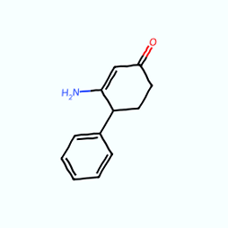 NC1=CC(=O)CCC1c1ccccc1